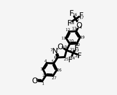 O=Cc1ccc(C2=NOC(c3ccc(OC(F)(F)F)cc3)(C(F)(F)F)C2)cc1